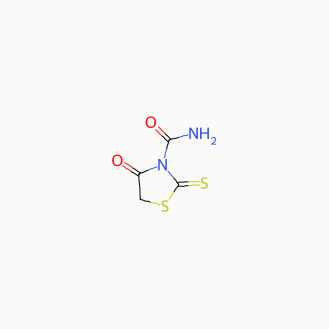 NC(=O)N1C(=O)CSC1=S